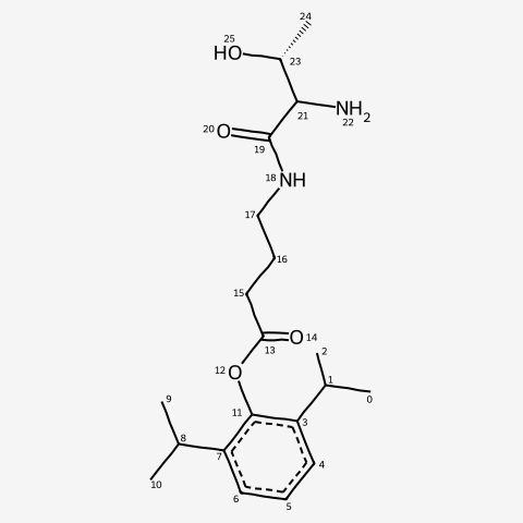 CC(C)c1cccc(C(C)C)c1OC(=O)CCCNC(=O)C(N)[C@@H](C)O